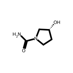 NC(=O)N1CC[C@@H](O)C1